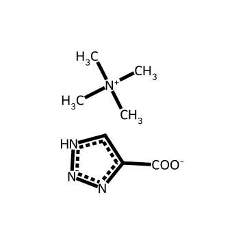 C[N+](C)(C)C.O=C([O-])c1c[nH]nn1